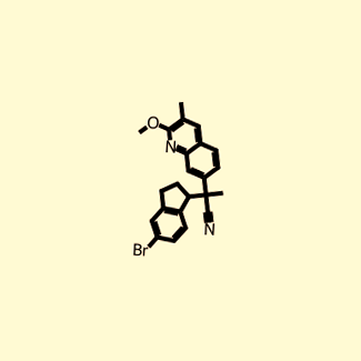 COc1nc2cc(C(C)(C#N)C3CCc4cc(Br)ccc43)ccc2cc1C